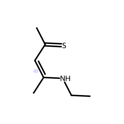 CCN/C(C)=C\C(C)=S